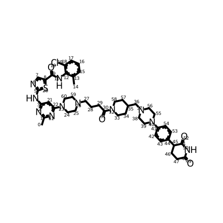 Cc1nc(Nc2ncc(C(=O)Nc3c(C)cccc3Cl)s2)cc(N2CCN(CCCC(=O)N3CCC(CN4CCN(c5ccc(C6CCC(=O)NC6=O)cc5)CC4)CC3)CC2)n1